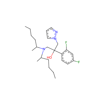 CCCCC(C)N(CC(O)(Cn1cccn1)c1ccc(F)cc1F)C(C)CCCC